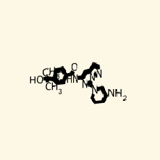 CC(C)(O)c1ccc(C(=O)Nc2cc3ccnn3c(N3CCC[C@@H](N)C3)n2)cc1